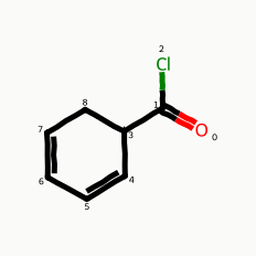 O=C(Cl)[C]1C=CC=CC1